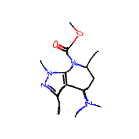 COC(=O)N1c2c(c(C)nn2C)C(N(C)C)CC1C